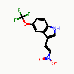 O=[N+]([O-])C=Cc1c[nH]c2ccc(OC(F)(F)F)cc12